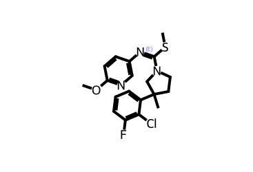 COc1ccc(/N=C(/SC)N2CCC(C)(c3cccc(F)c3Cl)C2)cn1